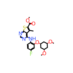 COC(=O)c1sc2ncnc(Nc3ccc(F)cc3O[C@@H]3C[C@H](OC)C[C@H](OC)C3)c2c1C